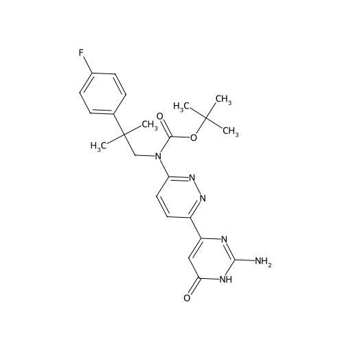 CC(C)(C)OC(=O)N(CC(C)(C)c1ccc(F)cc1)c1ccc(-c2cc(=O)[nH]c(N)n2)nn1